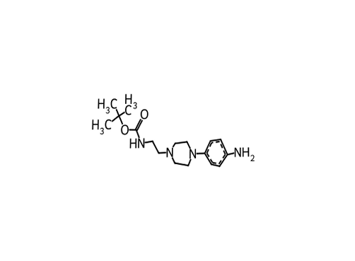 CC(C)(C)OC(=O)NCCN1CCN(c2ccc(N)cc2)CC1